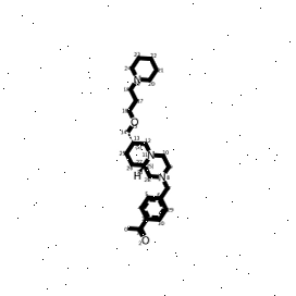 CC(=O)c1ccc(CN2CCN3C[C@@H](COCCCN4CCCCC4)CC[C@H]3C2)cc1